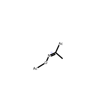 CC(=O)O/N=C(\C)C(C)=O